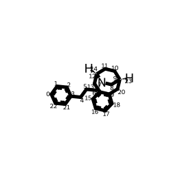 c1ccc(CCCN2C[C@H]3CC[C@@H]2Cc2ccccc2C3)cc1